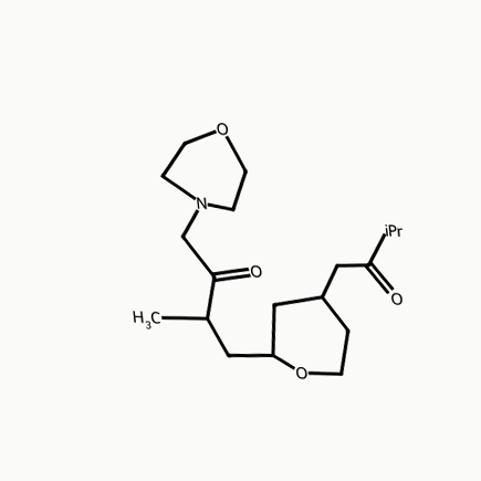 CC(C)C(=O)CC1CCOC(CC(C)C(=O)CN2CCOCC2)C1